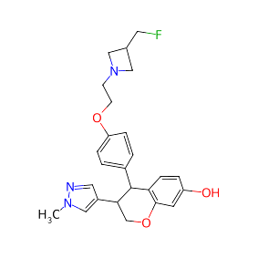 Cn1cc(C2COc3cc(O)ccc3C2c2ccc(OCCN3CC(CF)C3)cc2)cn1